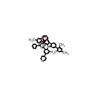 Cc1cc(C)c(-c2ccc3c4ccc(-c5c(C)cc(C)cc5C)cc4n(-c4ccc(-c5ccncc5)cc4-c4nc(-c5ccccc5)nc(-c5ccccc5)n4)c3c2)c(C)c1